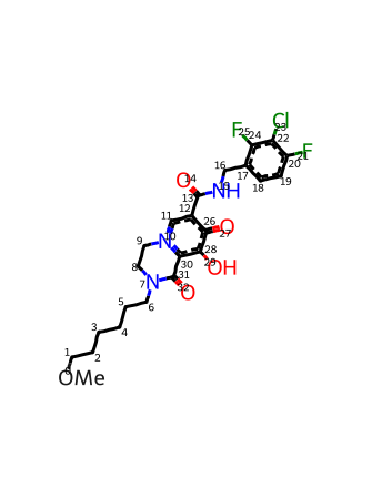 COCCCCCCN1CCn2cc(C(=O)NCc3ccc(F)c(Cl)c3F)c(=O)c(O)c2C1=O